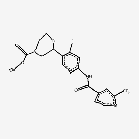 CC(C)(C)OC(=O)N1CCOC(c2ccc(NC(=O)c3ccnc(C(F)(F)F)c3)cc2F)C1